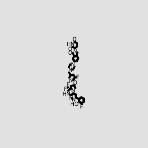 O=C1CCC(N2Cc3ccc(N4CCN(Cc5cnc(O[C@H]6CN7c8cc(-c9cccc(F)c9O)nnc8NC[C@]7(C(F)F)C6)c(F)c5)CC4)cc3C2=O)C(=O)N1